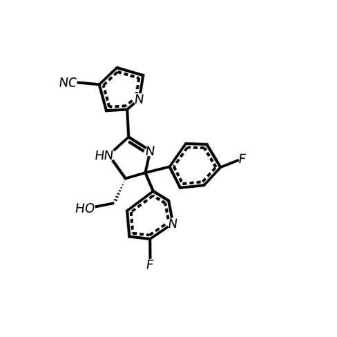 N#Cc1ccnc(C2=NC(c3ccc(F)cc3)(c3ccc(F)nc3)[C@H](CO)N2)c1